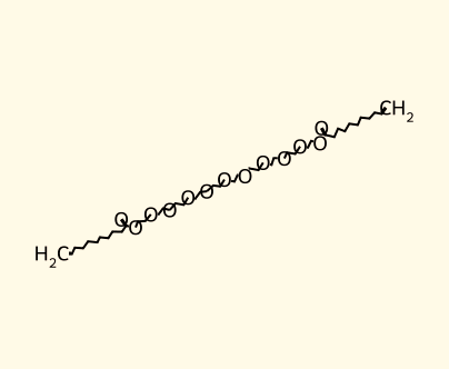 C=CCCCCCCCCC(=O)OCCOCCOCCOCCOCCOCCOCCOCCOCCOCCOC(=O)CCCCCCCCC=C